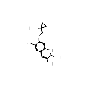 CC1=Cc2cc(Cl)c(OCC3(C)CC3)cc2NC1O